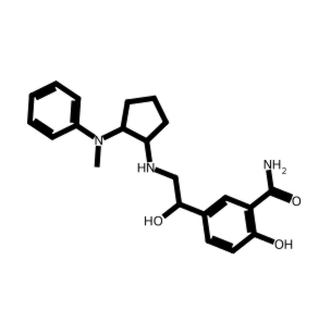 CN(c1ccccc1)C1CCCC1NCC(O)c1ccc(O)c(C(N)=O)c1